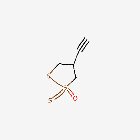 C#CC1CSS(=O)(=S)C1